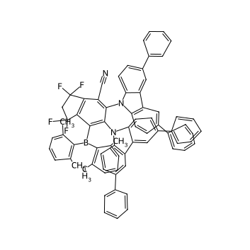 Cc1cccc(C)c1B(c1c(C)cccc1C)c1c(-n2c3ccc(-c4ccccc4)cc3c3cc(-c4ccccc4)ccc32)c(-n2c3ccc(-c4ccccc4)cc3c3cc(-c4ccccc4)ccc32)c(C#N)c2c1C(F)(F)CC2(F)F